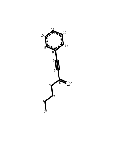 CCCCC(=O)C#Cc1ccccc1